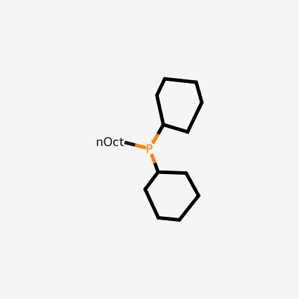 CCCCCCCCP(C1CCCCC1)C1CCCCC1